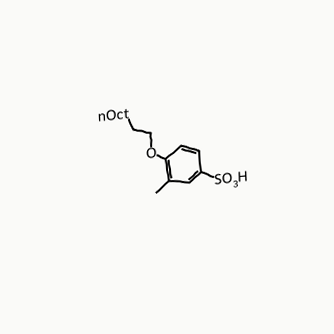 CCCCCCCCCCOc1ccc(S(=O)(=O)O)cc1C